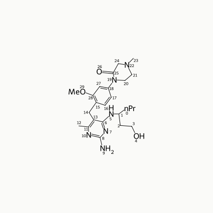 CCCC(CCO)Nc1nc(N)nc(C)c1Cc1ccc(N2CCN(C)CC2=O)cc1OC